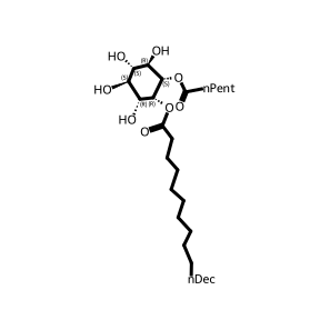 CCCCCCCCCCCCCCCCCCCC(=O)O[C@@H]1[C@H](O)[C@@H](O)[C@H](O)[C@@H](O)[C@@H]1OC(=O)CCCCC